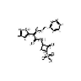 CON=C(C(=O)NC1CN(S(=O)(=O)O)C1=O)c1cccs1.c1ccncc1